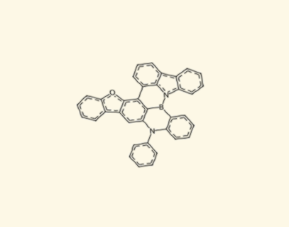 c1ccc(N2c3ccccc3B3c4c2cc2c(oc5ccccc52)c4-c2cccc4c5ccccc5n3c24)cc1